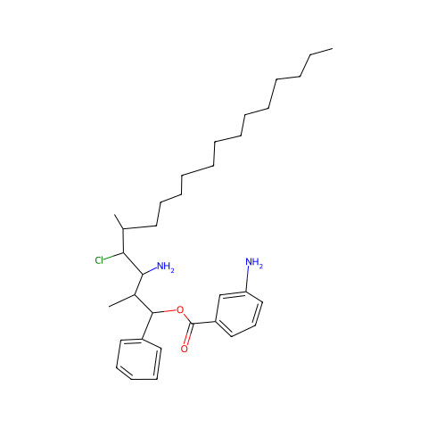 CCCCCCCCCCCCCC(C)C(Cl)C(N)C(C)C(OC(=O)c1cccc(N)c1)c1ccccc1